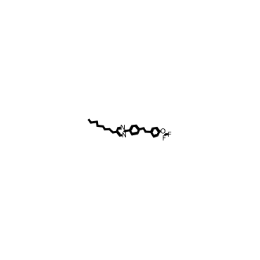 CCCCCCCCc1cnc(-c2ccc(CCc3ccc(OC(F)F)cc3)cc2)nc1